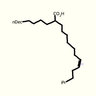 CCCCCCCCCCCCCCC(CCCCCC/C=C\CCC(C)C)C(=O)O